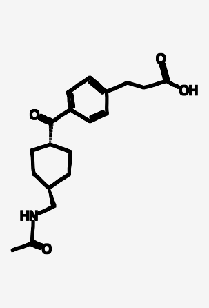 CC(=O)NC[C@H]1CC[C@H](C(=O)c2ccc(CCC(=O)O)cc2)CC1